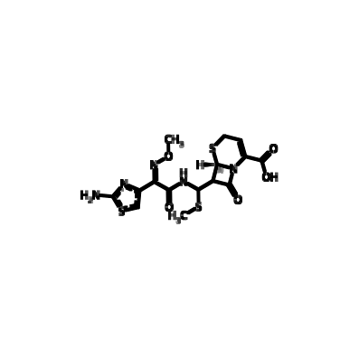 CON=C(C(=O)NC(SC)C1C(=O)N2C(C(=O)O)=CCS[C@@H]12)c1csc(N)n1